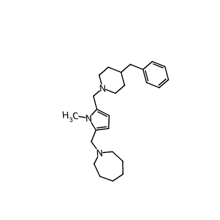 Cn1c(CN2CCCCCC2)ccc1CN1CCC(Cc2ccccc2)CC1